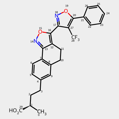 C[C@H](CCc1ccc2c(c1)CCc1c-2noc1-c1noc(-c2ccccc2)c1C(F)(F)F)C(=O)O